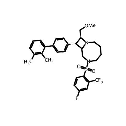 COC[C@@H]1[C@@H](c2ccc(-c3cccc(C)c3C)cc2)C2CN(S(=O)(=O)c3ccc(F)cc3C(F)(F)F)CCCCN21